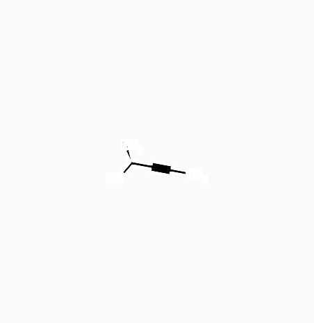 CC#C[C@H](N)O